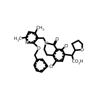 Cc1cc(C)c(CN2CCc3c(Cl)cc(C(C(=O)O)C4CCCO4)c(Cl)c3C2=O)c(OCc2ccccc2)n1